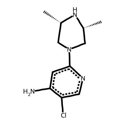 C[C@@H]1CN(c2cc(N)c(Cl)cn2)C[C@H](C)N1